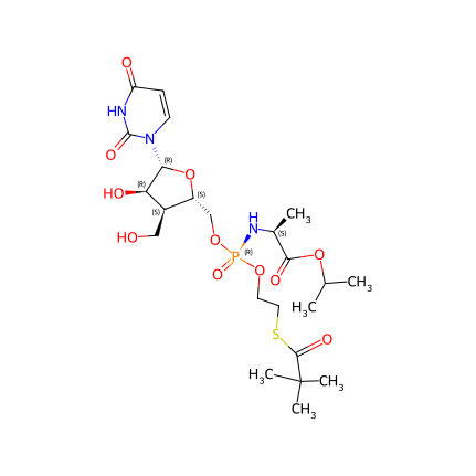 CC(C)OC(=O)[C@H](C)N[P@](=O)(OCCSC(=O)C(C)(C)C)OC[C@H]1O[C@@H](n2ccc(=O)[nH]c2=O)[C@H](O)[C@@H]1CO